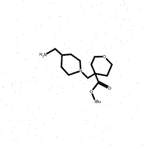 CC(C)(C)OC(=O)C1(CN2CCC(CN)CC2)CCOCC1